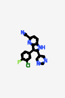 N#Cc1ccc2[nH]c(-c3cncnc3)c(-c3ccc(F)c(Cl)c3)c2n1